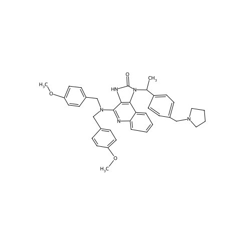 COc1ccc(CN(Cc2ccc(OC)cc2)c2nc3ccccc3c3c2[nH]c(=O)n3C(C)c2ccc(CN3CCCC3)cc2)cc1